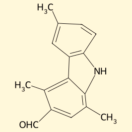 Cc1ccc2[nH]c3c(C)cc(C=O)c(C)c3c2c1